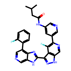 CC(C)CC(=O)Nc1cncc(-c2ncc3[nH]nc(-c4nc5c(-c6ccccc6F)cncc5[nH]4)c3c2F)c1